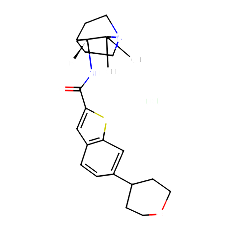 CC1(C)[C@H](NC(=O)c2cc3ccc(C4CCOCC4)cc3s2)C2CCN1CC2.Cl